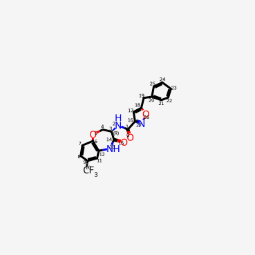 O=C(N[C@@H]1COc2ccc(C(F)(F)F)cc2NC1=O)c1cc(Cc2ccccc2)on1